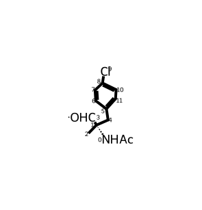 CC(=O)N[C@](C)([C]=O)Cc1ccc(Cl)cc1